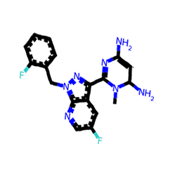 CN1C(c2nn(Cc3ccccc3F)c3ncc(F)cc23)=NC(N)=[C]C1N